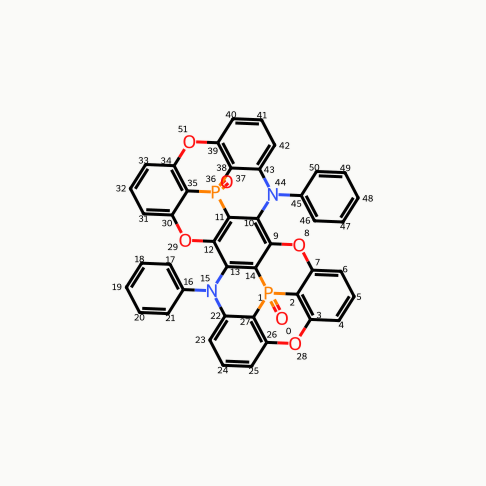 O=P12c3c4cccc3Oc3c5c6c(c(c31)N(c1ccccc1)c1cccc(c12)O4)Oc1cccc2c1P6(=O)c1c(cccc1N5c1ccccc1)O2